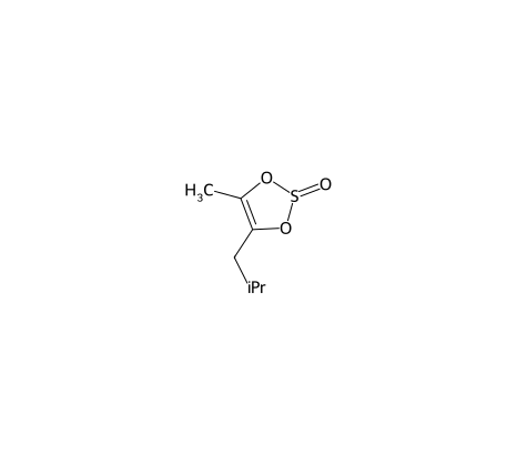 CC1=C(CC(C)C)OS(=O)O1